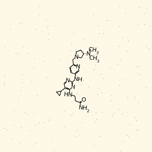 CN(C)[C@H]1CCN(Cc2ccc(Nc3ncc(C4CC4)c(NCCC(N)=O)n3)cn2)C1